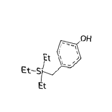 CC[Si](CC)(CC)Cc1ccc(O)cc1